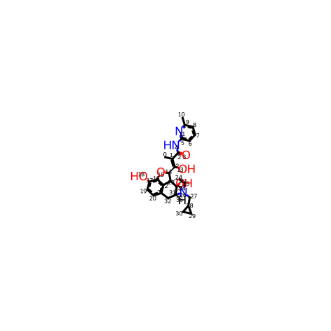 C/C(C(=O)Nc1cccc(C)n1)=C(/O)[C@@H]1Oc2c(O)ccc3c2[C@@]12CCN(CC1CC1)[C@H](C3)[C@@]2(C)O